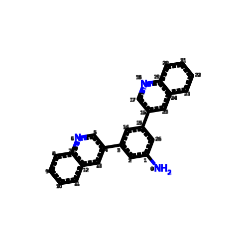 Nc1cc(-c2cnc3ccccc3c2)cc(-c2cnc3ccccc3c2)c1